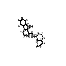 c1cnc2c(c1)CCC[C@@H]2NCc1nccc2c1[nH]c1ccccc12